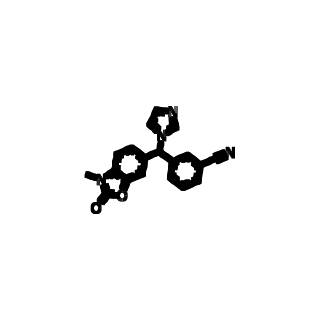 Cn1c(=O)oc2cc(C(c3cccc(C#N)c3)n3ccnc3)ccc21